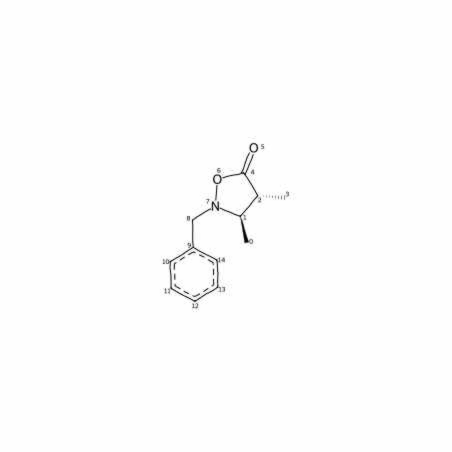 C[C@@H]1[C@@H](C)C(=O)ON1Cc1ccccc1